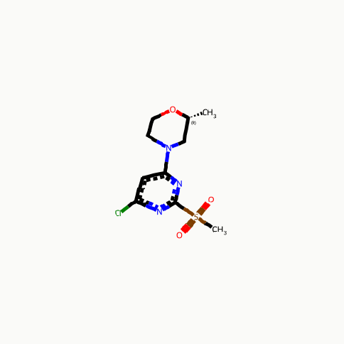 C[C@@H]1CN(c2cc(Cl)nc(S(C)(=O)=O)n2)CCO1